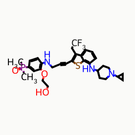 CP(C)(=O)c1ccc(NCC#Cc2sc3c(NC4CCN(C5CC5)CC4)cccc3c2CC(F)(F)F)c(OCCO)c1